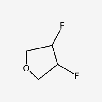 FC1COCC1F